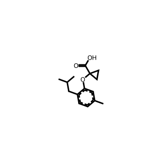 Cc1ccc(CC(C)C)c(OC2(C(=O)O)CC2)c1